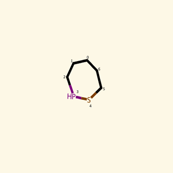 C1CCPSCC1